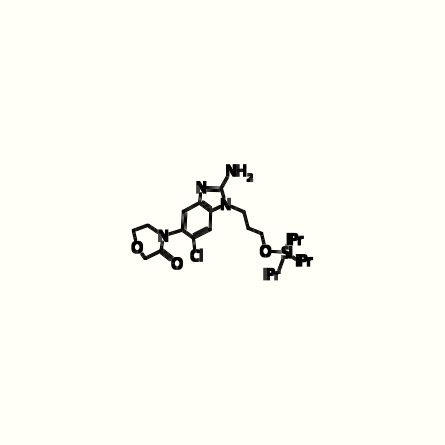 CC(C)[Si](OCCCn1c(N)nc2cc(N3CCOCC3=O)c(Cl)cc21)(C(C)C)C(C)C